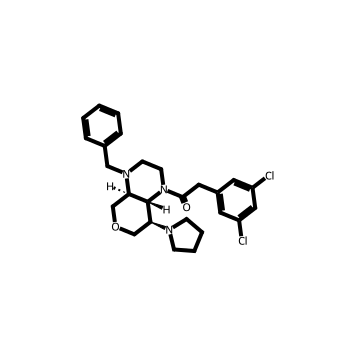 O=C(Cc1cc(Cl)cc(Cl)c1)N1CCN(Cc2ccccc2)[C@@H]2COC[C@H](N3CCCC3)[C@H]21